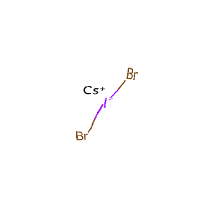 Br[I-]Br.[Cs+]